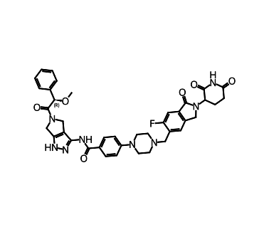 CO[C@@H](C(=O)N1Cc2[nH]nc(NC(=O)c3ccc(N4CCN(Cc5cc6c(cc5F)C(=O)N(C5CCC(=O)NC5=O)C6)CC4)cc3)c2C1)c1ccccc1